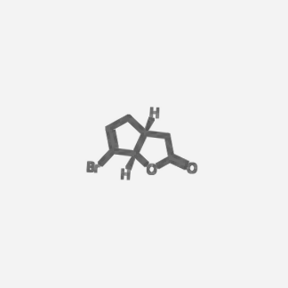 O=C1C[C@H]2CC=C(Br)[C@H]2O1